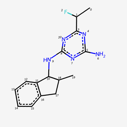 CC(F)c1nc(N)nc(NC2c3ccccc3CC2C)n1